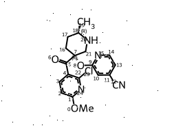 COc1ccc(C(=O)[C@@]2(Oc3cc(C#N)ccn3)CC[C@@H](C)NC2)c(Cl)n1